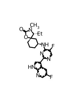 CC[C@H]1N(C)C(=O)O[C@]12CCC[C@H](Nc1nc(-c3c[nH]c4ncc(F)cc34)ncc1F)C2